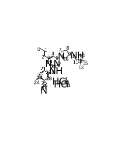 CCCc1cc(N2CC[C@H](NCC(C)(C)C)C2)nc(Nc2ccc(C)c(C#N)c2)n1.Cl.Cl